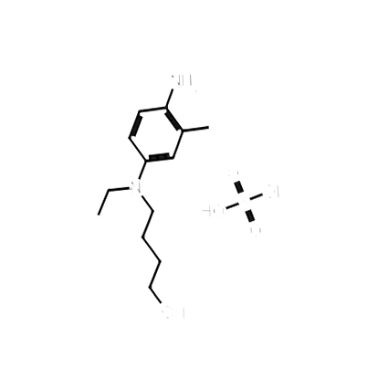 CCN(CCCCO)c1ccc(N)c(C)c1.O=S(=O)(O)O